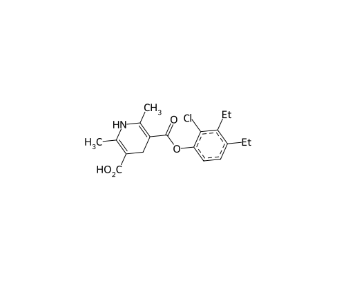 CCc1ccc(OC(=O)C2=C(C)NC(C)=C(C(=O)O)C2)c(Cl)c1CC